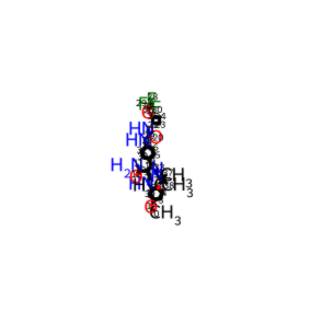 COc1cccc(Nc2c(C(N)=O)c(-c3ccc(NC(=O)N[C@H]4CCC4OC(F)(F)F)cc3)nn2C(C)(C)C)c1